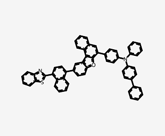 c1ccc(-c2ccc(N(c3ccccc3)c3ccc(-c4cc5ccccc5c5c4oc4ccc(-c6ccc(-c7nc8ccccc8s7)c7ccccc67)cc45)cc3)cc2)cc1